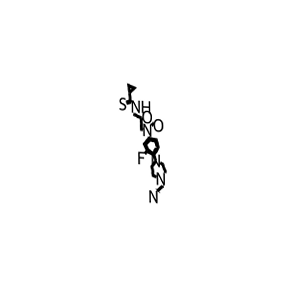 N#CCN1CCN(c2ccc(N3CC(CNC(=S)C4CC4)OC3=O)cc2F)CC1